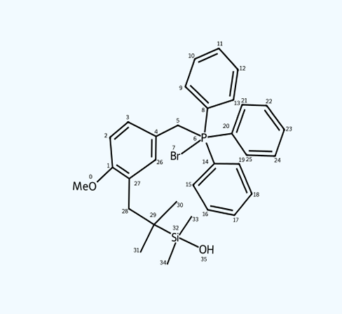 COc1ccc(CP(Br)(c2ccccc2)(c2ccccc2)c2ccccc2)cc1CC(C)(C)[Si](C)(C)O